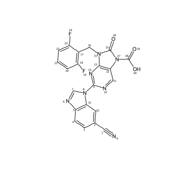 N#Cc1ccc2ncn(-c3ncc4c(n3)n(Cc3c(F)cccc3F)c(=O)n4C(=O)O)c2c1